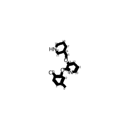 Cc1ccc(Cl)c(Oc2ncccc2OCC2CCCNC2)c1